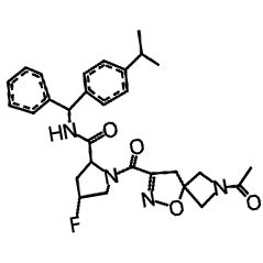 CC(=O)N1CC2(CC(C(=O)N3CC(F)CC3C(=O)NC(c3ccccc3)c3ccc(C(C)C)cc3)=NO2)C1